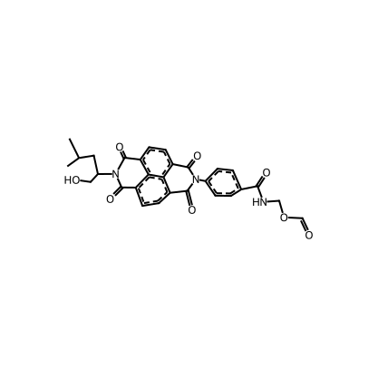 CC(C)CC(CO)N1C(=O)c2ccc3c4c(ccc(c24)C1=O)C(=O)N(c1ccc(C(=O)NCOC=O)cc1)C3=O